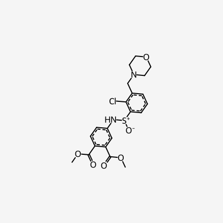 COC(=O)c1ccc(N[S+]([O-])c2cccc(CN3CCOCC3)c2Cl)cc1C(=O)OC